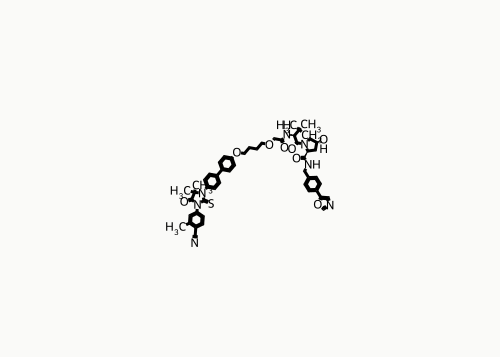 Cc1cc(N2C(=O)C(C)(C)N(c3ccc(-c4ccc(OCCCCOCC(=O)N[C@H](C(=O)N5C[C@H](O)C[C@H]5C(=O)NCc5ccc(-c6cnco6)cc5)C(C)(C)C)cc4)cc3)C2=S)ccc1C#N